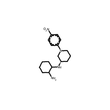 NC1CCCCC1N[C@@H]1CCCN(c2ccc([N+](=O)[O-])cc2)C1